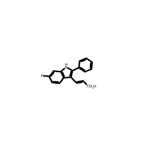 O=C(O)/C=C/c1c(-c2ccccc2)[nH]c2cc(F)ccc12